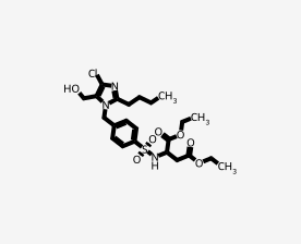 CCCCc1nc(Cl)c(CO)n1Cc1ccc(S(=O)(=O)NC(CC(=O)OCC)C(=O)OCC)cc1